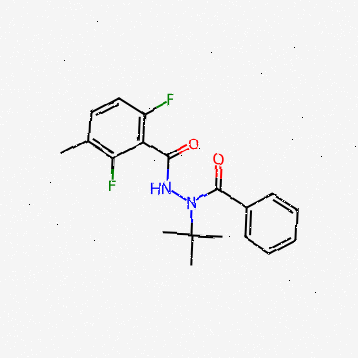 Cc1ccc(F)c(C(=O)NN(C(=O)c2ccccc2)C(C)(C)C)c1F